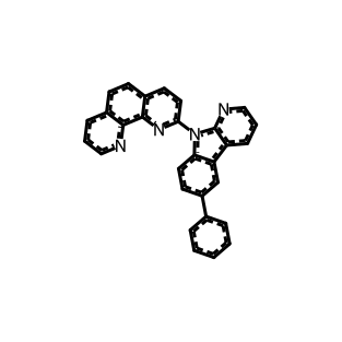 c1ccc(-c2ccc3c(c2)c2cccnc2n3-c2ccc3ccc4cccnc4c3n2)cc1